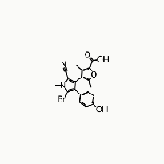 Cc1oc(C(=O)O)c(C)c1-c1c(-c2ccc(O)cc2)c(Br)n(C)c1C#N